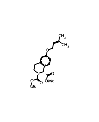 COC(=O)[C@H]1c2ccc(OCC=C(C)C)cc2CCN1C(=O)OC(C)(C)C